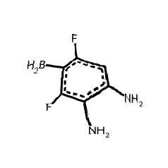 Bc1c(F)cc(N)c(N)c1F